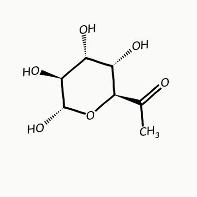 CC(=O)[C@H]1O[C@H](O)[C@@H](O)[C@H](O)[C@@H]1O